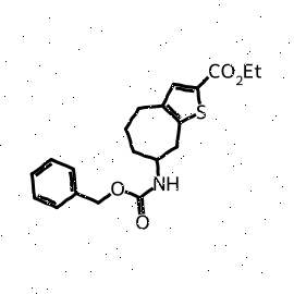 CCOC(=O)c1cc2c(s1)CC(NC(=O)OCc1ccccc1)CCC2